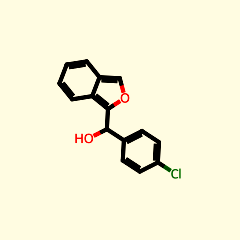 OC(c1ccc(Cl)cc1)c1occ2ccccc12